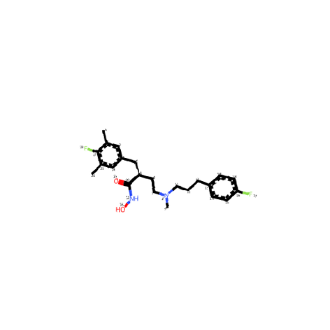 Cc1cc(C[C@@H](CCN(C)CCCc2ccc(F)cc2)C(=O)NO)cc(C)c1F